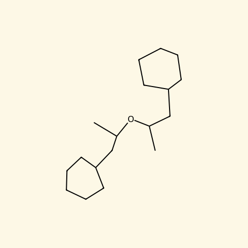 CC(CC1CCCCC1)OC(C)CC1CCCCC1